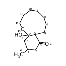 CC1CC(=O)C2CCCCCCCCC2(O)C1